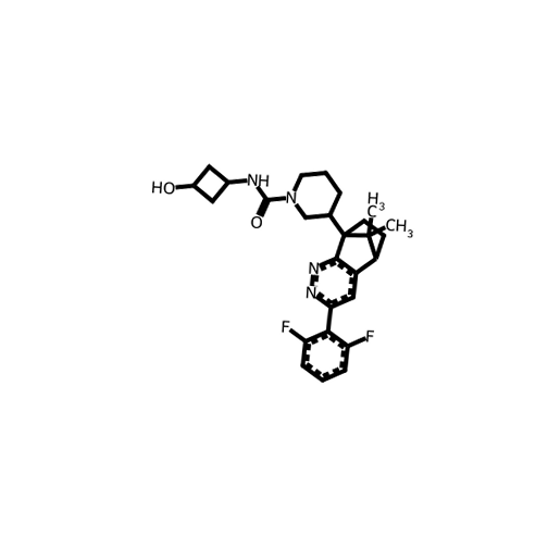 CC1(C)C2CCC1(C1CCCN(C(=O)NC3CC(O)C3)C1)c1nnc(-c3c(F)cccc3F)cc12